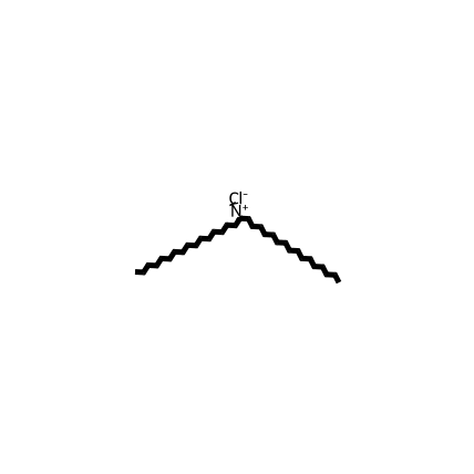 C=[N+]=C(CCCCCCCCCCCCCCCC)CCCCCCCCCCCCCCCC.[Cl-]